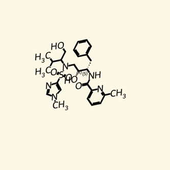 Cc1cccc(C(=O)N[C@@H](Cc2ccccc2)[C@H](O)CN(C(CO)C(C)C)S(=O)(=O)c2cn(C)cn2)n1